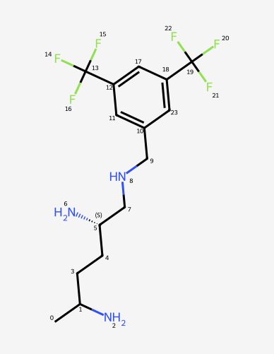 CC(N)CC[C@H](N)CNCc1cc(C(F)(F)F)cc(C(F)(F)F)c1